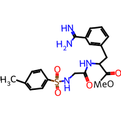 COC(=O)C(Cc1cccc(C(=N)N)c1)NC(=O)CNS(=O)(=O)c1ccc(C)cc1